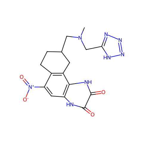 CN(Cc1nnn[nH]1)CC1CCc2c([N+](=O)[O-])cc3[nH]c(=O)c(=O)[nH]c3c2C1